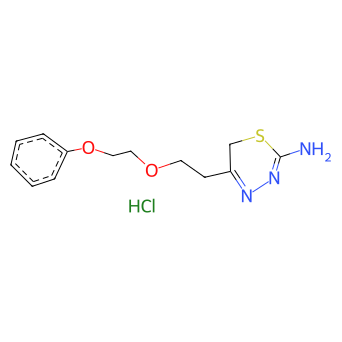 Cl.NC1=NN=C(CCOCCOc2ccccc2)CS1